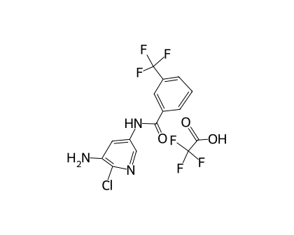 Nc1cc(NC(=O)c2cccc(C(F)(F)F)c2)cnc1Cl.O=C(O)C(F)(F)F